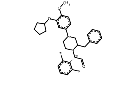 COc1ccc(N2CCN([C@H](C=O)c3c(F)cccc3F)C(Cc3ccccc3)C2)cc1OC1CCCC1